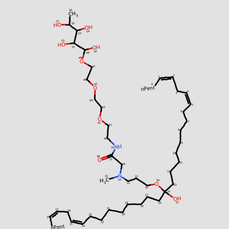 CCCCC/C=C\C/C=C\CCCCCCCCC(O)(CCCCCCCC/C=C\C/C=C\CCCCC)OCCCN(C)CC(=O)NCCOCCOCCOC(O)C(O)C(O)C(C)O